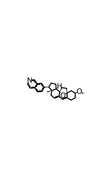 CO[C@H]1CCC2=CC3=CC[C@]4(C)[C@@H](c5ccc6ccncc6c5)CC[C@H]4[C@@]34CC[C@]2(C1)O4